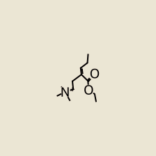 CCC=C(CC[N+](C)(C)C)C(=O)OCC